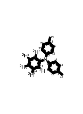 [2H]c1c([2H])c([2H])c(N(c2ccc(C)cc2)c2ccc(C)cc2)c([2H])c1[2H]